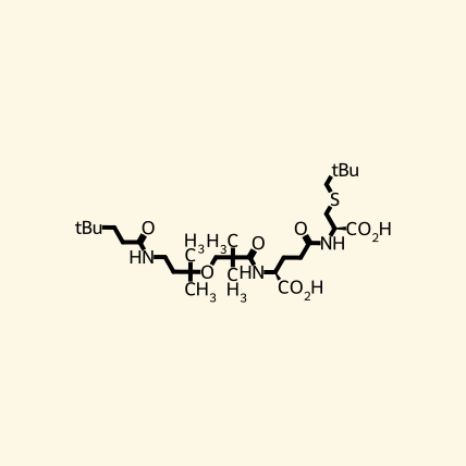 CC(C)(C)CCC(=O)NCCC(C)(C)OCC(C)(C)C(=O)N[C@@H](CCC(=O)N[C@@H](CSCC(C)(C)C)C(=O)O)C(=O)O